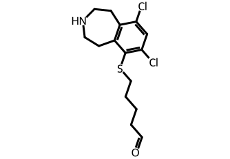 O=CCCCCSc1c(Cl)cc(Cl)c2c1CCNCC2